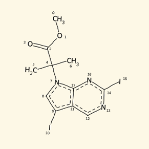 COC(=O)C(C)(C)n1cc(I)c2cnc(I)nc21